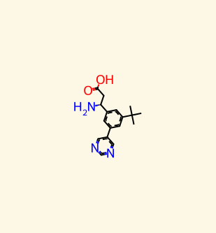 CC(C)(C)c1cc(-c2cncnc2)cc([C@@H](N)CC(=O)O)c1